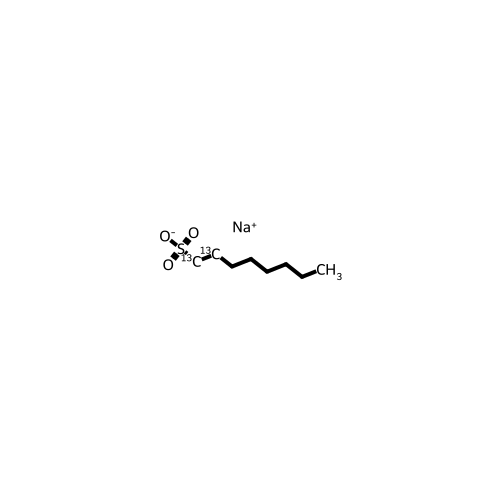 CCCCCC[13CH2][13CH2]S(=O)(=O)[O-].[Na+]